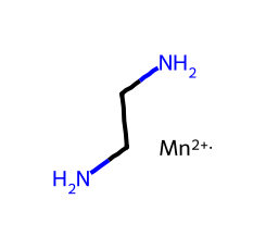 NCCN.[Mn+2]